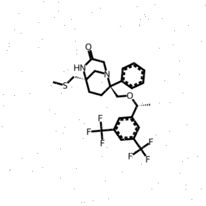 CSC[C@]12CC[C@@](CO[C@H](C)c3cc(C(F)(F)F)cc(C(F)(F)F)c3)(c3ccccc3)N(CC(=O)N1)C2